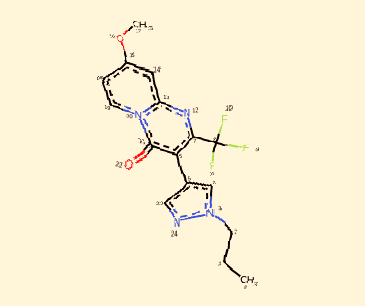 CCCn1cc(-c2c(C(F)(F)F)nc3cc(OC)ccn3c2=O)cn1